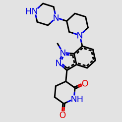 Cn1nc(C2CCC(=O)NC2=O)c2cccc(N3CCCC(N4CCNCC4)C3)c21